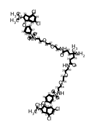 CN(C)C1Cc2c(Cl)cc(Cl)cc2[C@@H]1Oc1ccc(S(=O)(=O)NCCOCCOCCNC(=O)CCC(C)(N)CCC(=O)NCCOCCOCCNS(=O)(=O)c2ccc(O[C@H]3c4cc(Cl)cc(Cl)c4C[C@@H]3N(C)C)cc2)cc1